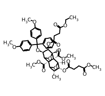 CCOC(=O)CCC(=O)O[C@@H]1[C@H](OC(c2ccccc2)(c2ccc(OC)cc2)c2ccc(OC)cc2)C2O[C@H]1[C@@]1(C(=O)OC)[C@@H]3OC([C@@H](C)[C@H]3OC(=O)CCC(=O)OC)[C@@]21C(=O)OC